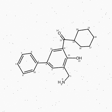 NCc1cc(-c2ccccc2)cc(C(=O)C2CCCCC2)c1O